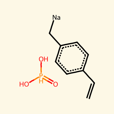 C=Cc1ccc([CH2][Na])cc1.O=[PH](O)O